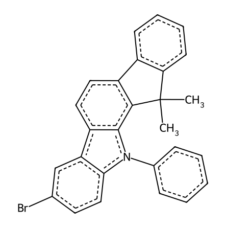 CC1(C)c2ccccc2-c2ccc3c4cc(Br)ccc4n(-c4ccccc4)c3c21